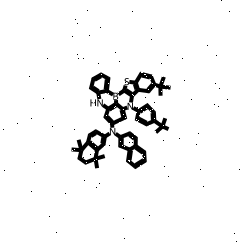 CC(C)(C)c1ccc(N2c3cc(N(c4ccc5c(c4)C(C)(C)CCC5(C)C)c4ccc5ccccc5c4)cc4c3B(c3ccccc3N4)c3sc4ccc(C(C)(C)C)cc4c32)cc1